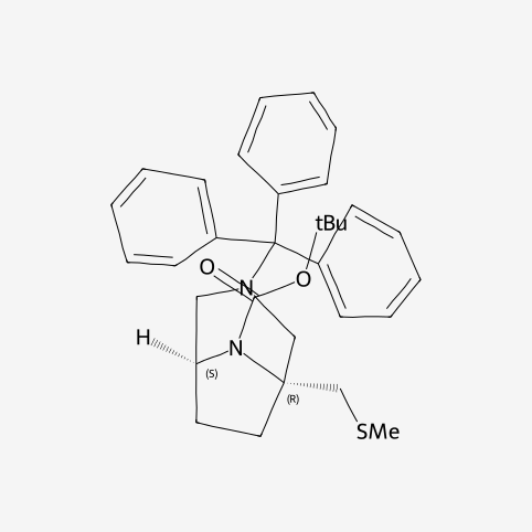 CSC[C@@]12CC[C@@H](CN(C(c3ccccc3)(c3ccccc3)c3ccccc3)C1)N2C(=O)OC(C)(C)C